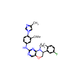 COc1cc(Nc2ncc3c(n2)N(C)C(c2cc(F)ccc2C(F)(F)F)CO3)ccc1-n1cnc(C)c1